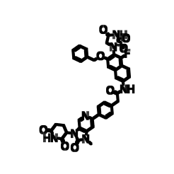 Cn1c(=O)n(C2CCC(=O)NC2=O)c2cnc(-c3ccc(CC(=O)Nc4ccc5c(F)c(N6CC(=O)NS6(=O)=O)c(OCc6ccccc6)cc5c4)cc3)cc21